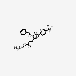 CCOC(=O)CCc1cn(-c2ccc(C(F)(F)F)cn2)nc1OCc1ccccc1